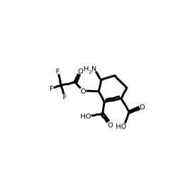 NC1CCC(C(=O)O)=C(C(=O)O)C1OC(=O)C(F)(F)F